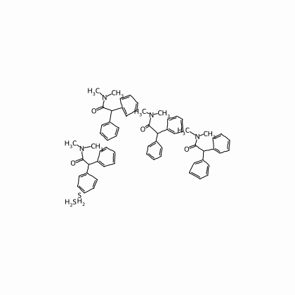 CN(C)C(=O)C(c1ccccc1)c1ccccc1.CN(C)C(=O)C(c1ccccc1)c1ccccc1.CN(C)C(=O)C(c1ccccc1)c1ccccc1.CN(C)C(=O)C(c1ccccc1)c1ccccc1.S.S